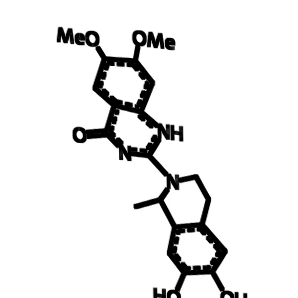 COc1cc2[nH]c(N3CCc4cc(O)c(O)cc4C3C)nc(=O)c2cc1OC